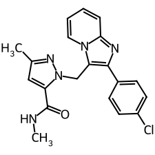 CNC(=O)c1cc(C)nn1Cc1c(-c2ccc(Cl)cc2)nc2ccccn12